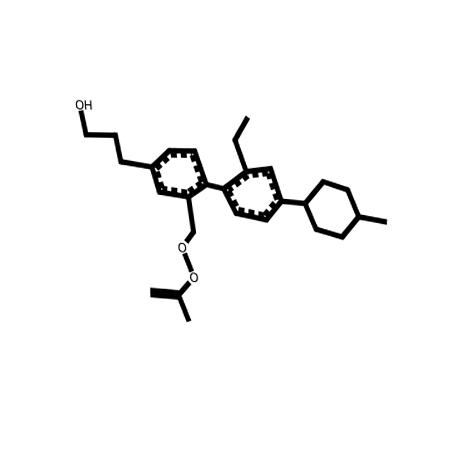 C=C(C)OOCc1cc(CCCO)ccc1-c1ccc(C2CCC(C)CC2)cc1CC